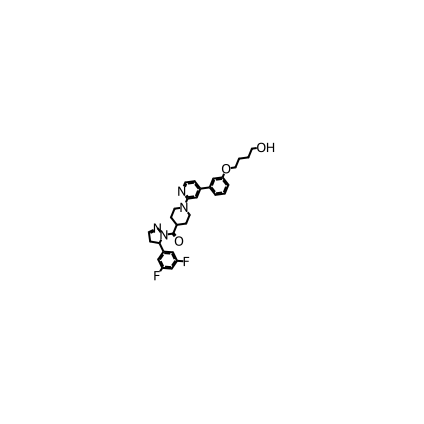 O=C(C1CCN(c2cc(-c3cccc(OCCCCO)c3)ccn2)CC1)N1N=CCC1c1cc(F)cc(F)c1